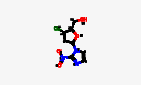 O=[N+]([O-])c1nccn1C1C[C@@H](Cl)[C@@H](CO)O1